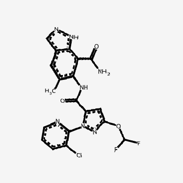 Cc1cc2cn[nH]c2c(C(N)=O)c1NC(=O)c1cc(OC(F)F)nn1-c1ncccc1Cl